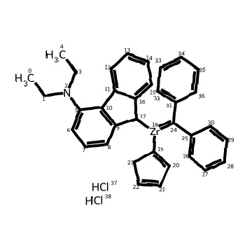 CCN(CC)c1cccc2c1-c1ccccc1[CH]2[Zr]([C]1=CC=CC1)=[C](c1ccccc1)c1ccccc1.Cl.Cl